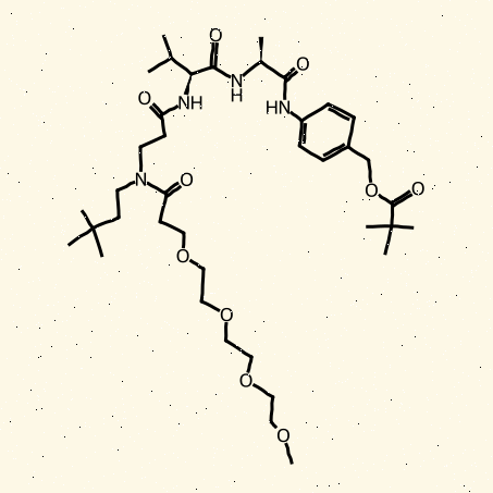 COCCOCCOCCOCCC(=O)N(CCC(=O)N[C@H](C(=O)N[C@@H](C)C(=O)Nc1ccc(COC(=O)C(C)(C)C)cc1)C(C)C)CCC(C)(C)C